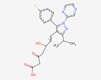 CC(C)c1nn(-c2cnccn2)c(-c2ccc(F)cc2)c1/C=C/C(O)CC(=O)CC(=O)O